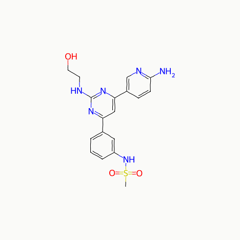 CS(=O)(=O)Nc1cccc(-c2cc(-c3ccc(N)nc3)nc(NCCO)n2)c1